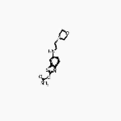 NC(=O)Oc1nc2ccc(NCCN3CCOCC3)cc2s1